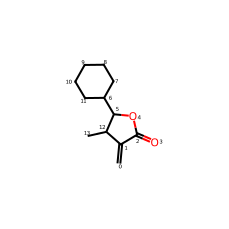 C=C1C(=O)OC(C2CCCCC2)C1C